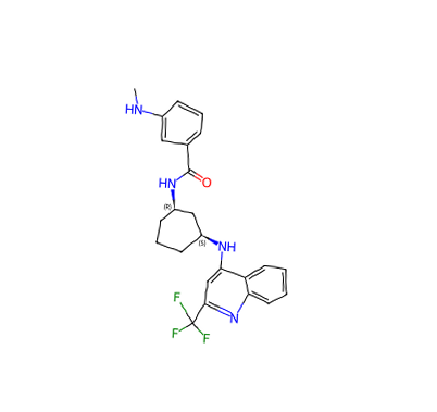 CNc1cccc(C(=O)N[C@@H]2CCC[C@H](Nc3cc(C(F)(F)F)nc4ccccc34)C2)c1